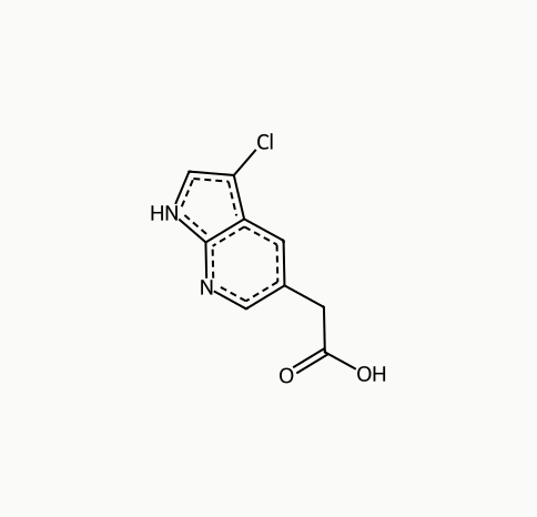 O=C(O)Cc1cnc2[nH]cc(Cl)c2c1